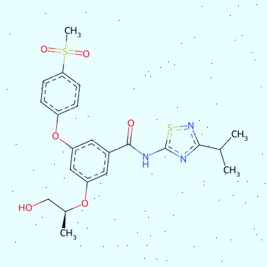 CC(C)c1nsc(NC(=O)c2cc(Oc3ccc(S(C)(=O)=O)cc3)cc(O[C@@H](C)CO)c2)n1